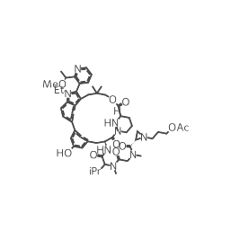 CCn1c(-c2cccnc2[C@H](C)OC)c2c3cc(ccc31)-c1cc(O)cc(c1)C[C@H](NC(=O)C(C(C)C)N(C)C(=O)CN(C)C(=O)[C@@H]1CN1CCCOC(C)=O)C(=O)N1CCC[C@H](N1)C(=O)OCC(C)(C)C2